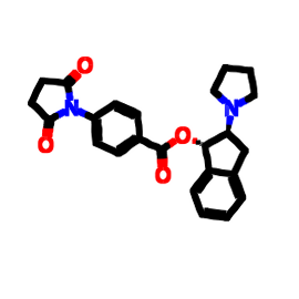 O=C(O[C@H]1c2ccccc2C[C@@H]1N1CCCC1)c1ccc(N2C(=O)CCC2=O)cc1